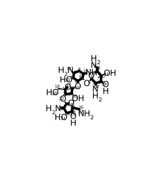 NCC1O[C@H](O[C@@H]2C(N)C[C@@H](N)C(O)C2O[C@@H]2O[C@H](CO)[C@H](O[C@H]3OC(CN)[C@@H](O)C(O)C3N)[C@@H]2O)C(N)C(O)[C@@H]1O